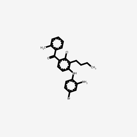 CCCCc1c(Nc2ccc(Br)cc2N)ccc(C(=O)c2ccccc2C)c1Cl